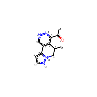 CC(=O)c1nncc2c1C(C)Cn1nccc1-2